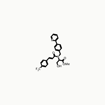 COC(=O)C(CO)N(Cc1ccc(-c2ccccn2)cc1)C(=O)C=Cc1ccc(C(F)(F)F)cc1